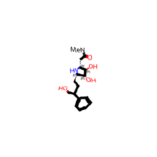 CNC(=O)C[C@H]1N[C@H](CCC(CO)c2ccccc2)[C@@H](O)[C@@H]1O